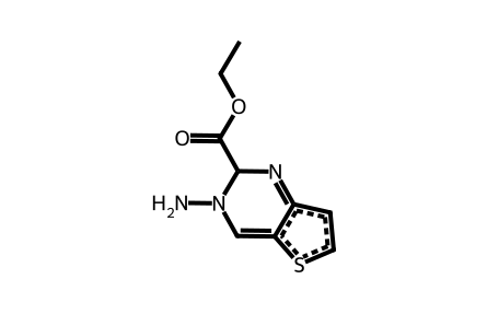 CCOC(=O)C1N=c2ccsc2=CN1N